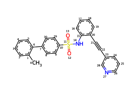 Cc1ccccc1-c1ccc(S(=O)(=O)Nc2ccccc2C#Cc2cccnc2)cc1